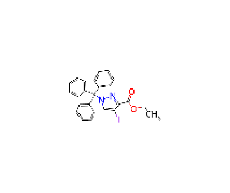 CCOC(=O)c1nn(C(c2ccccc2)(c2ccccc2)c2ccccc2)cc1I